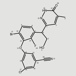 Cc1cc(C(CO)c2ccc(Br)c(Oc3cc(Cl)cc(C#N)c3)c2F)n[nH]c1=O